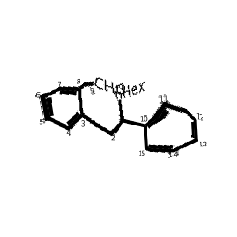 CCCCCCC(Cc1ccccc1C=O)c1ccccc1